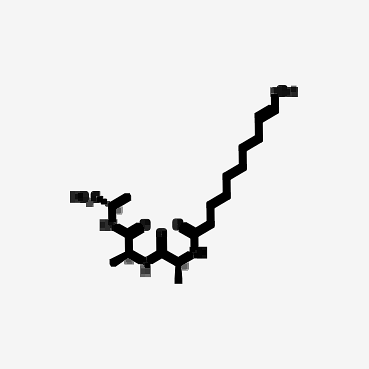 CCCCCCCCC=CCCCCCCCC(=O)N[C@@H](C)C(=O)N[C@@H](C)C(=O)N[C@@H](C)C(=O)O